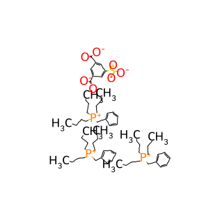 CCCC[P+](CCCC)(CCCC)Cc1ccccc1.CCCC[P+](CCCC)(CCCC)Cc1ccccc1.CCCC[P+](CCCC)(CCCC)Cc1ccccc1.O=C([O-])c1cc(C(=O)[O-])cc(S(=O)(=O)[O-])c1